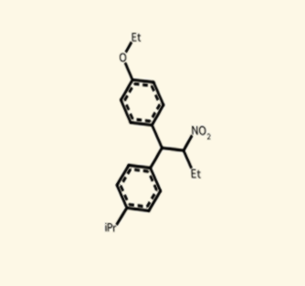 CCOc1ccc(C(c2ccc(C(C)C)cc2)C(CC)[N+](=O)[O-])cc1